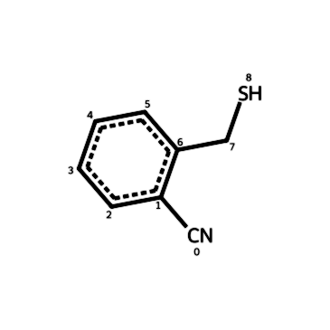 N#Cc1ccccc1CS